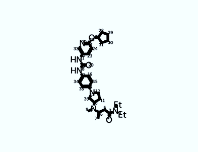 CCN(CC)C(=O)CC(C)N(C)C1CCN(c2ccc(NC(=O)Nc3ccc(OC4CCCC4)nc3)cc2)C1